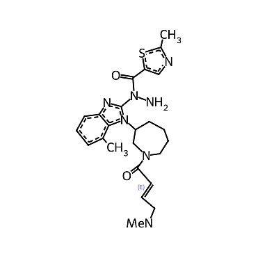 CNC/C=C/C(=O)N1CCCCC(n2c(N(N)C(=O)c3cnc(C)s3)nc3cccc(C)c32)C1